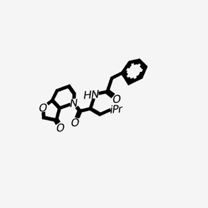 CC(C)CC(NC(=O)Cc1ccccc1)C(=O)N1CCCC2OCC(=O)C21